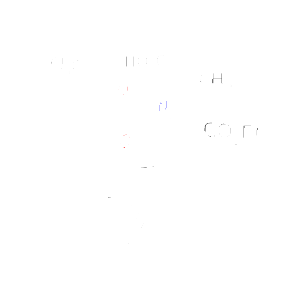 CCOC(=O)[C@H](CCc1ccccc1)N(C(=O)OCC(Cl)(Cl)Cl)C(C)C(=O)O